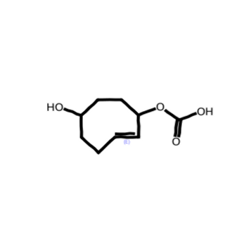 O=C(O)OC1/C=C/CCC(O)CC1